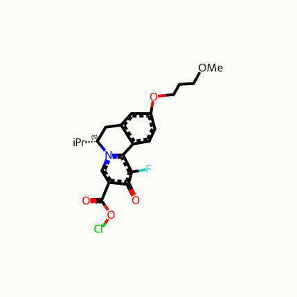 COCCCOc1ccc2c(c1)C[C@@H](C(C)C)n1cc(C(=O)OCl)c(=O)c(F)c1-2